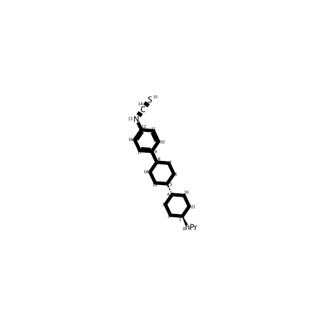 CCC[C@H]1CC[C@H](C2CCC(c3ccc(N=C=S)cc3)CC2)CC1